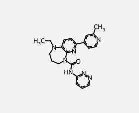 CCN1CCCN(C(=O)Nc2cccnn2)c2nc(-c3ccnc(C)c3)ccc21